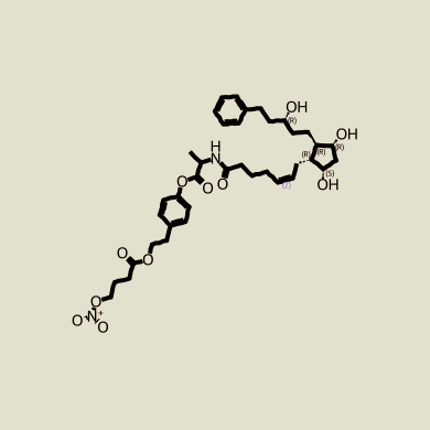 CC(NC(=O)CCC/C=C\C[C@@H]1[C@@H](CC[C@@H](O)CCc2ccccc2)[C@H](O)C[C@@H]1O)C(=O)Oc1ccc(CCOC(=O)CCCO[N+](=O)[O-])cc1